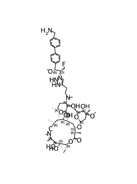 CC[C@H]1OC(=O)[C@H](C)[C@@H](O[C@H]2C[C@@](C)(OC)[C@@H](O)[C@H](C)O2)C[C@@H](O[C@@H]2O[C@H](C)C[C@H](N(C)CCC3=CN([C@H](CF)[C@H](OC)c4ccc(-c5ccc(CN)cc5)cc4)NN3)[C@H]2O)[C@](C)(O)C[C@@H](C)CN(C)[C@H](C)[C@@H](O)[C@]1(C)O